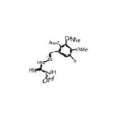 COc1c(Br)cc(/C=N/NC(=N)NO)c(OC)c1OC